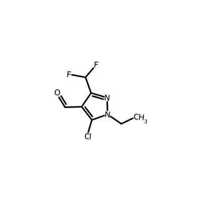 CCn1nc(C(F)F)c(C=O)c1Cl